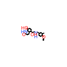 C#COc1ccc(CNCC(O)c2ccc(O)c3[nH]c(=O)ccc23)cc1C